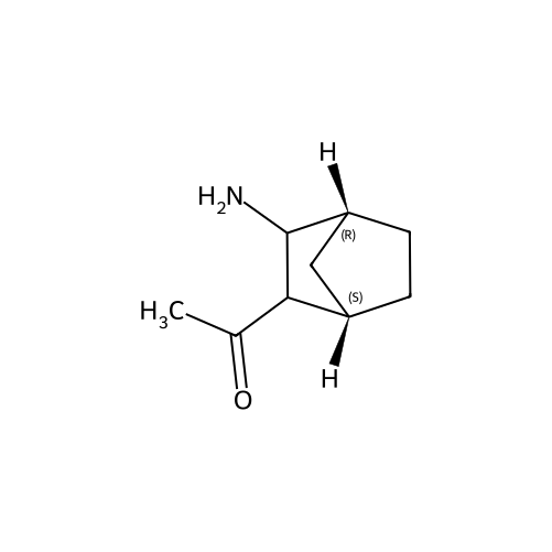 CC(=O)C1C(N)[C@@H]2CC[C@H]1C2